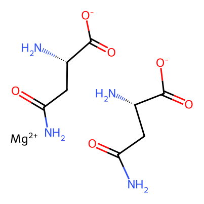 NC(=O)C[C@H](N)C(=O)[O-].NC(=O)C[C@H](N)C(=O)[O-].[Mg+2]